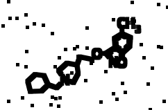 Cc1ccc2onc(OCCC3CCN(CC4CCCCC4)CC3)c2c1